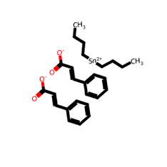 CCC[CH2][Sn+2][CH2]CCC.O=C([O-])C=Cc1ccccc1.O=C([O-])C=Cc1ccccc1